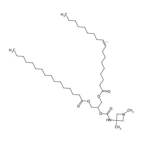 CCCCCCCC/C=C\CCCCCCCC(=O)OCC(COC(=O)CCCCCCCCCCCCCCC)OC(=O)NC1(C)CN(C)C1